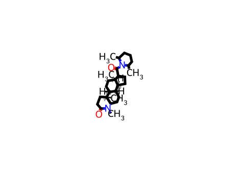 CC1CCCC(C)N1C(=O)C1CC[C@H]2[C@@H]3CCC4N(C)C(=O)CC[C@]4(C)[C@@H]3CC[C@]12C